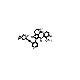 COc1c(F)cccc1Nc1c(-c2ccncc2C#CC2CC3(CC3)CN2)[nH]c2c1C(=O)NCC2